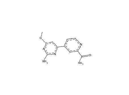 COc1cc(-c2[c]c(C(N)=O)ncc2)nc(N)n1